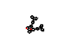 C1=CC(c2ccc(-n3c4ccccc4c4ccccc43)cc2)=CC=C(C2(c3ccc(-c4ccc(-n5c6ccccc6c6ccccc65)cc4)cc3)c3ccccc3-c3ccccc32)C1